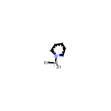 C[CH2][Al]([CH2]C)[n+]1ccccc1